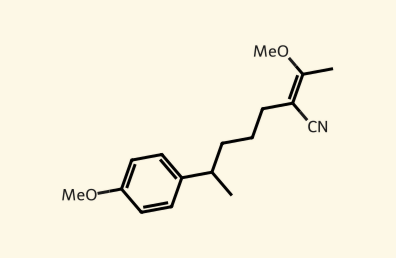 CO/C(C)=C(/C#N)CCCC(C)c1ccc(OC)cc1